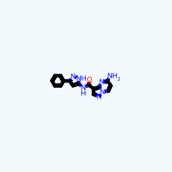 Nc1ccn2ncc(C(=O)Nc3cc(-c4ccccc4)n[nH]3)c2n1